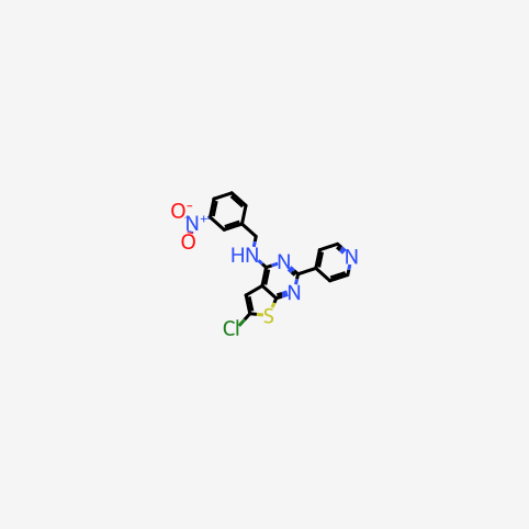 O=[N+]([O-])c1cccc(CNc2nc(-c3ccncc3)nc3sc(Cl)cc23)c1